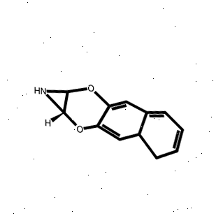 C1=CCC2C=C3O[C@@H]4NC4OC3=CC2=C1